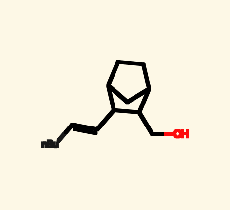 CCCCC=CC1C2CCC(C2)C1CO